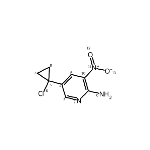 Nc1ncc(C2(Cl)CC2)cc1[N+](=O)[O-]